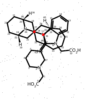 O=C(O)CN1CCCC(=C2N(CC(=O)O)c3ccccc3N2C2C[C@H]3CCC[C@@H](C2)N3C2C[C@H]3CCCC[C@@H](C2)C3)C1